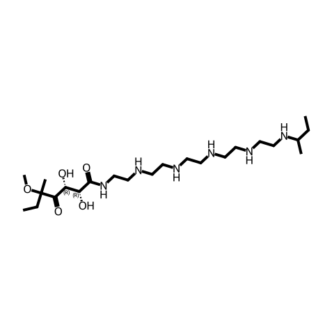 CCC(C)NCCNCCNCCNCCNCCNC(=O)[C@H](O)[C@@H](O)C(=O)C(C)(CC)OC